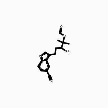 CC(C)(O[C]=O)C(N)CCc1c[nH]c2ccc(C#N)cc12